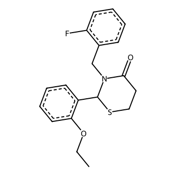 CCOc1ccccc1C1SCCC(=O)N1Cc1ccccc1F